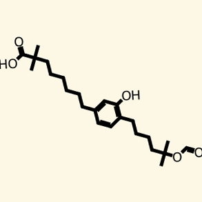 CC(C)(CCCCc1ccc(CCCCCCC(C)(C)C(=O)O)cc1O)OC=O